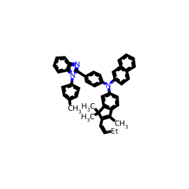 CC/C=C\C1=C(C)c2ccc(N(c3ccc(-c4nc5ccccc5n4-c4ccc(C)cc4)cc3)c3ccc4ccccc4c3)cc2C1(C)C